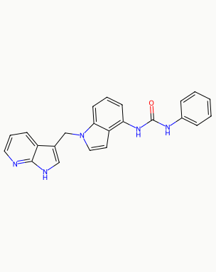 O=C(Nc1ccccc1)Nc1cccc2c1ccn2Cc1c[nH]c2ncccc12